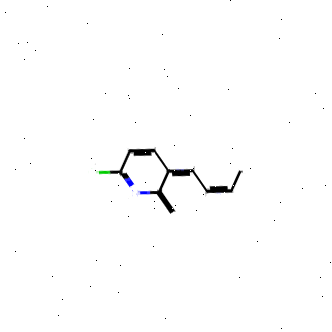 C=c1nc(Cl)cc/c1=C/C=C\C